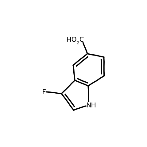 O=C(O)c1ccc2[nH]cc(F)c2c1